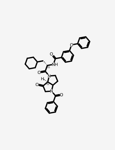 O=C(N[C@@H](CC1CCCCC1)C(=O)N1CCC2[C@H]1C(=O)CN2C(=O)c1ccccc1)c1cccc(Oc2ccccc2)c1